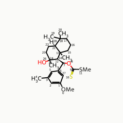 COc1cc(C)cc(C(OC(=S)SC)[C@@H]2[C@@]3(C)CCCC(C)(C)[C@@H]3CC[C@@]2(C)O)c1